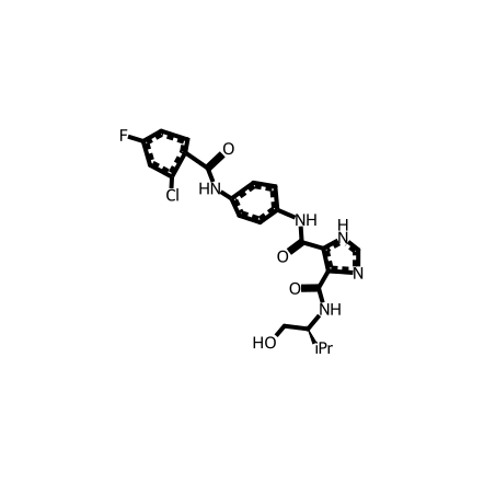 CC(C)[C@@H](CO)NC(=O)c1nc[nH]c1C(=O)Nc1ccc(NC(=O)c2ccc(F)cc2Cl)cc1